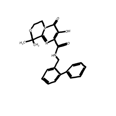 CC1(C)OCCn2c1nc(C(=O)NCc1ccccc1-c1ccccc1)c(O)c2=O